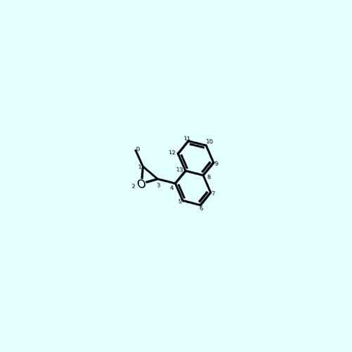 CC1OC1c1cccc2ccccc12